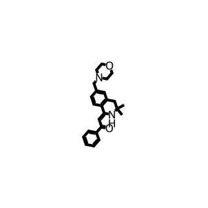 CC1(C)Cc2cc(CN3CCOCC3)ccc2C(=CC(=O)c2ccccc2)N1